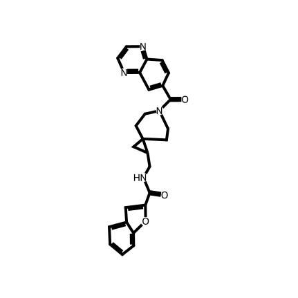 O=C(NCC1CC12CCN(C(=O)c1ccc3nccnc3c1)CC2)c1cc2ccccc2o1